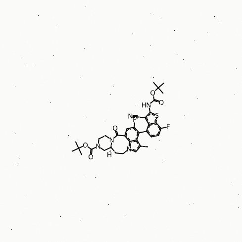 Cc1cn2c3c(cc(F)c(-c4ccc(F)c5sc(NC(=O)OC(C)(C)C)c(C#N)c45)c13)C(=O)N1CCN(C(=O)OC(C)(C)C)C[C@@H]1CC2